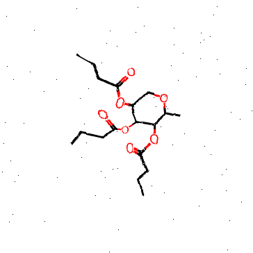 CCCC(=O)OC1COC(C)C(OC(=O)CCC)C1OC(=O)CCC